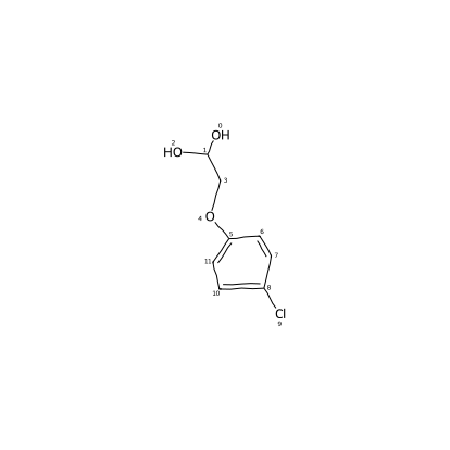 OC(O)COc1ccc(Cl)cc1